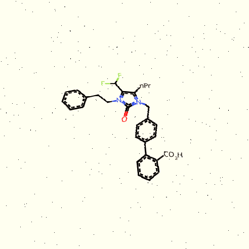 CCCc1c(C(F)F)n(CCc2ccccc2)c(=O)n1Cc1ccc(-c2ccccc2C(=O)O)cc1